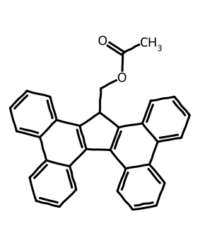 CC(=O)OCC1c2c(c3ccccc3c3ccccc23)-c2c1c1ccccc1c1ccccc21